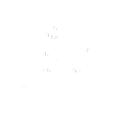 Cc1cc(N[C@H]2CC[C@@H](N[C@H](Cc3ccc(Cl)cc3)C(=O)N3CCC(CN4CN=CN4)(C4CCCCC4)CC3)CC2)ccc1F